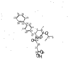 CC(C)OC(=O)C(C)CC(Cc1ccc(-c2ccccc2)cc1)NC(=O)CCC(=O)O